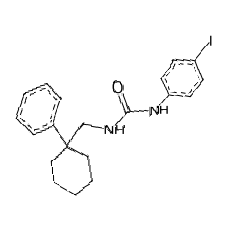 O=C(NCC1(c2ccccc2)CCCCC1)Nc1ccc(I)cc1